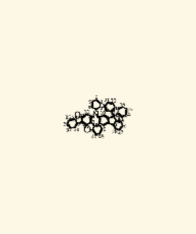 c1ccc(N(c2ccc3c(c2)C(c2ccccc2)(c2ccccc2)c2ccccc2-3)c2cc3oc4ccccc4c3c3oc4ccccc4c23)cc1